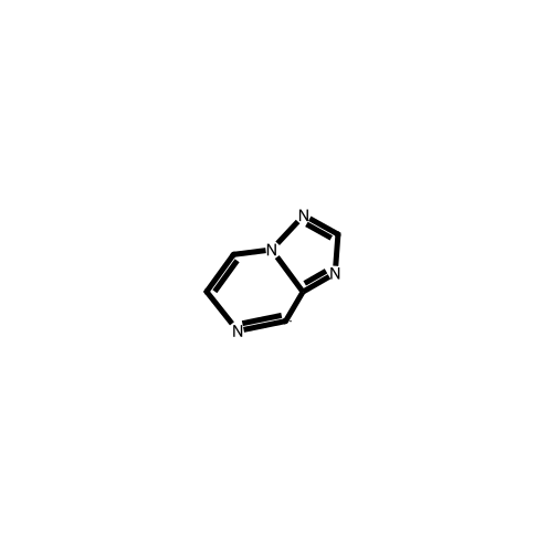 [c]1nccn2ncnc12